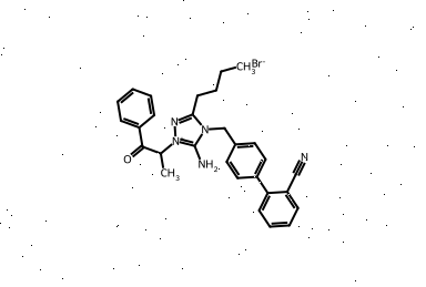 CCCCc1n[n+](C(C)C(=O)c2ccccc2)c(N)n1Cc1ccc(-c2ccccc2C#N)cc1.[Br-]